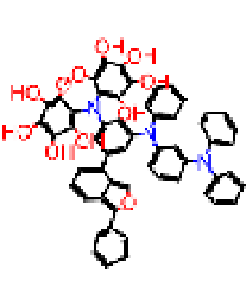 Oc1c(O)c(O)c2c(ooc3c(O)c(O)c(O)c(O)c3n2-c2cc(-c3cccc4c(-c5ccccc5)occ34)cc(N(c3ccccc3)c3cccc(N(c4ccccc4)c4ccccc4)c3)c2)c1O